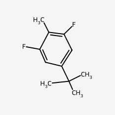 Cc1c(F)cc(C(C)(C)C)cc1F